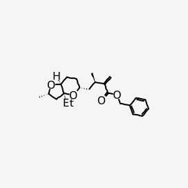 C=C(C(=O)OCc1ccccc1)[C@H](C)C[C@H]1CC[C@@H]2O[C@@H](C)C[C@]2(CC)O1